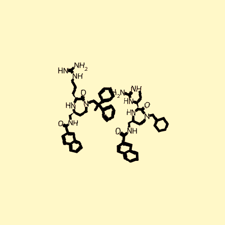 CC(CN1CC[C@@H](CNC(=O)c2ccc3ccccc3c2)N[C@@H](CCCNC(=N)N)C1=O)(c1ccccc1)c1ccccc1.CCC(NC(=N)N)[C@@H]1N[C@H](CNC(=O)c2ccc3ccccc3c2)CCN(CC2CCCCC2)C1=O